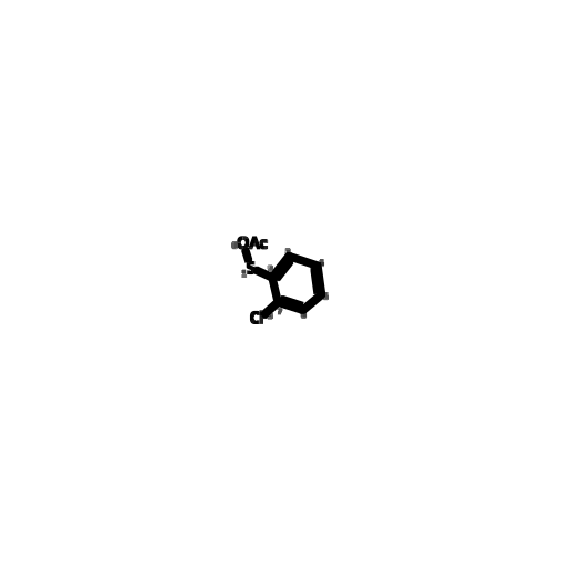 CC(=O)OSc1ccccc1Cl